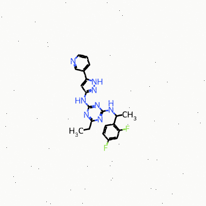 CCc1nc(Nc2cc(-c3cccnc3)[nH]n2)nc(NC(C)c2ccc(F)cc2F)n1